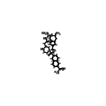 CC1Cc2nc(C(=O)[N+]3(S(=O)(=O)c4ccc5cc(C(=N)N)ccc5c4)CCNC(CC(=O)NCC(=O)O)C3)sc2CN1